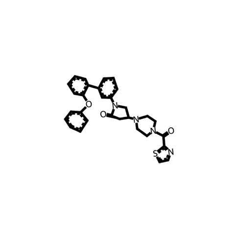 O=C(c1nccs1)N1CCN(C2CC(=O)N(c3cccc(-c4ccccc4Oc4ccccc4)c3)C2)CC1